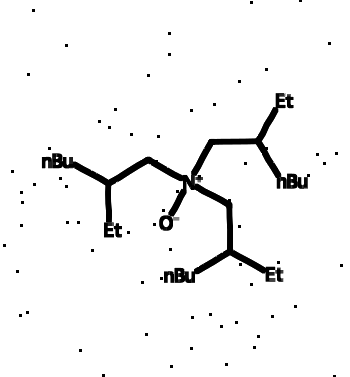 CCCCC(CC)C[N+]([O-])(CC(CC)CCCC)CC(CC)CCCC